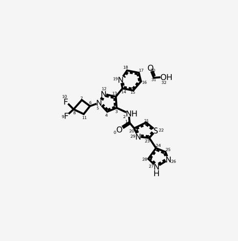 O=C(Nc1cn(C2CC(F)(F)C2)nc1-c1ccccn1)c1csc(-c2cn[nH]c2)n1.O=CO